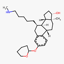 CNCCCCC[C@@H]1Cc2cc(OC3CCCCO3)ccc2[C@H]2CC[C@]3(C)[C@@H](O)CC[C@H]3[C@H]12